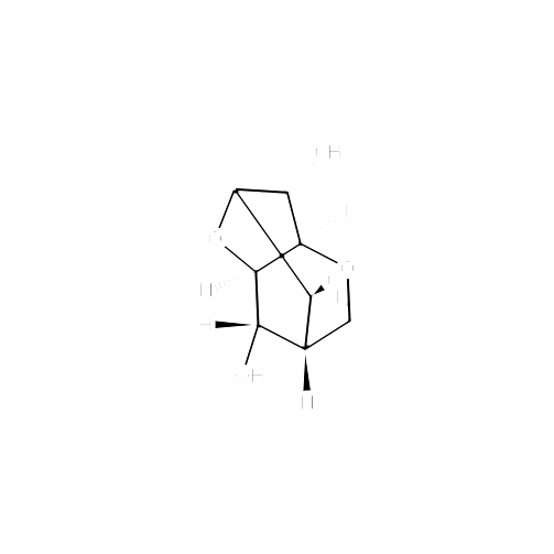 C[C@@H]1C2O[C@@H]3[C@@H](O)[C@H]1CO[C@@H]3[C@H]2C